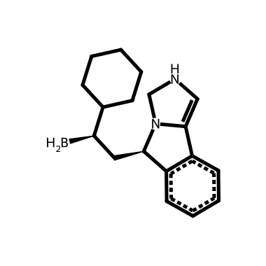 B[C@H](C[C@@H]1c2ccccc2C2=CNCN21)C1CCCCC1